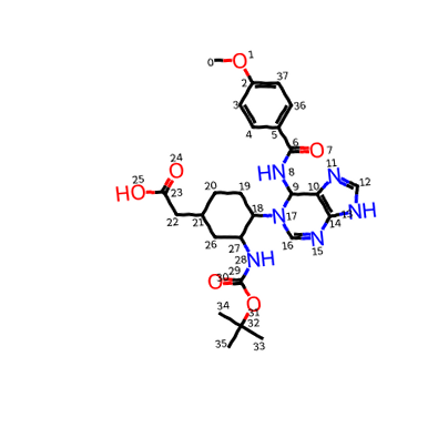 COc1ccc(C(=O)NC2c3nc[nH]c3N=CN2C2CCC(CC(=O)O)CC2NC(=O)OC(C)(C)C)cc1